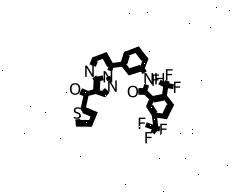 O=C(Nc1cccc(-c2ccnc3c(C(=O)c4cccs4)cnn23)c1)c1cc(C(F)(F)F)ccc1C(F)(F)F